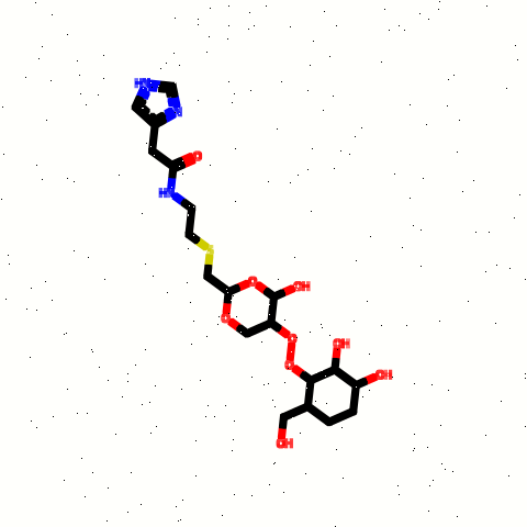 O=C(Cc1c[nH]cn1)NCCSCC1OCC(OOC2C(CO)CCC(O)C2O)C(O)O1